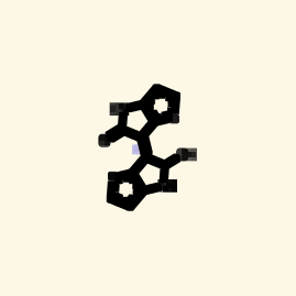 O=C1Nc2ccsc2/C1=C1/c2sccc2NC1O